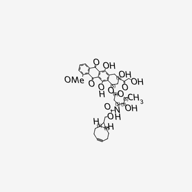 COc1cccc2c1C(=O)c1c(O)c3c(c(O)c1C2=O)C[C@@](O)(C(=O)CO)C[C@@H]3O[C@H]1C[C@H](NC(=O)OCC2[C@H]3CCC#CCC[C@@H]23)[C@H](O)[C@H](C)O1